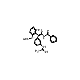 N=C(N)Nc1cccc(C(=C(NC(=O)c2ccccc2)C(=O)O)c2ccccc2NC=O)c1